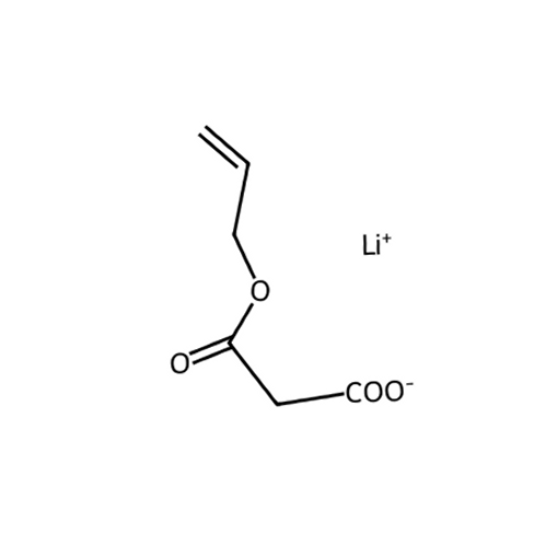 C=CCOC(=O)CC(=O)[O-].[Li+]